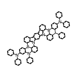 c1ccc(C2c3cc(N(c4ccccc4)c4ccccc4)ccc3B3c4c2cccc4-n2c4cc5c(cc4c4cccc3c42)c2cccc3c2n5-c2cccc4c2B3c2ccc(N(c3ccccc3)c3ccccc3)cc2N4c2ccccc2)cc1